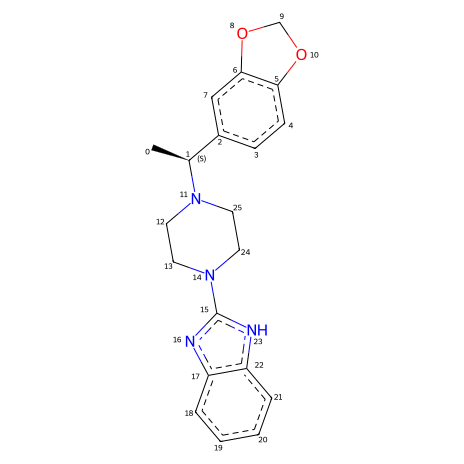 C[C@@H](c1ccc2c(c1)OCO2)N1CCN(c2nc3ccccc3[nH]2)CC1